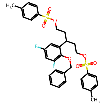 Cc1ccc(S(=O)(=O)OCCC(CCOS(=O)(=O)c2ccc(C)cc2)c2cc(F)cc(F)c2OCc2ccccc2)cc1